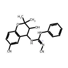 CC1(C)Oc2ccc(C#N)cc2C(N/C(=N\C#N)Nc2ccccc2)C1O